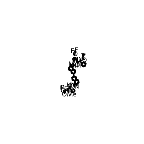 COC(=O)N[C@H](C(=O)N1CCC[C@H]1c1nc2ccc3cc(-c4ccc5c(ccc6nc([C@@H]7C[C@H](COC(F)F)CN7C(=O)C(NC(=O)C7CC7)c7ccccc7)[nH]c65)c4)ccc3c2[nH]1)C(C)C